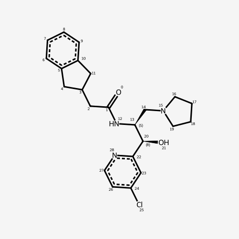 O=C(CC1Cc2ccccc2C1)N[C@@H](CN1CCCC1)[C@@H](O)c1cc(Cl)ccn1